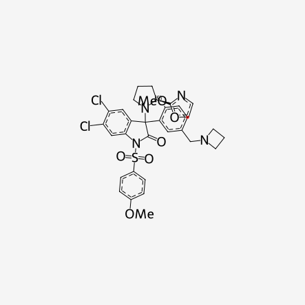 COc1ccc(S(=O)(=O)N2C(=O)C(c3cc(CN4CCC4)ccc3OC)(N3CCC[C@H]3c3ncco3)c3cc(Cl)c(Cl)cc32)cc1